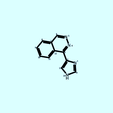 [c]1nc(-c2nncc3ccccc23)c[nH]1